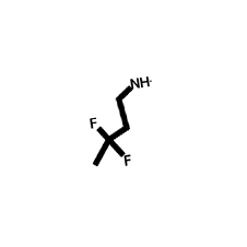 CC(F)(F)CC[NH]